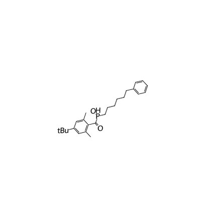 Cc1cc(C(C)(C)C)cc(C)c1C(=O)[PH](=O)CCCCCCc1ccccc1